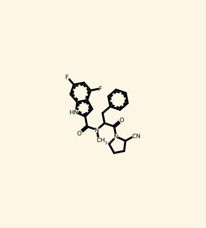 CN(C(=O)c1cc2c(F)cc(F)cc2[nH]1)C(Cc1ccccc1)C(=O)N1CCCC1C#N